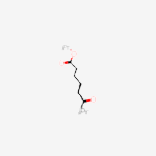 CC(C)OC(=O)CCCCC(=O)C(C)C